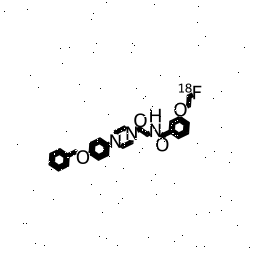 O=C(NCC(=O)N1CCN(c2ccc(OCc3ccccc3)cc2)CC1)c1cccc(OCC[18F])c1